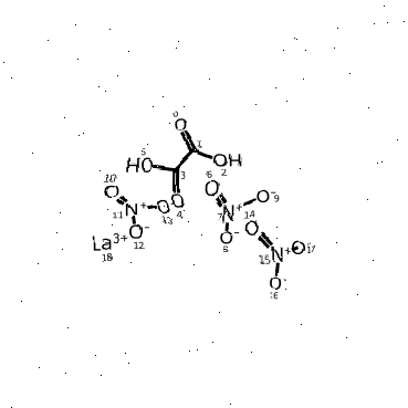 O=C(O)C(=O)O.O=[N+]([O-])[O-].O=[N+]([O-])[O-].O=[N+]([O-])[O-].[La+3]